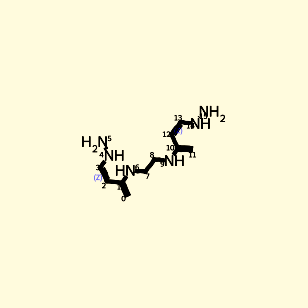 C=C(/C=C\NN)NCCNC(=C)/C=C\NN